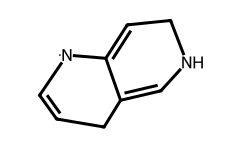 C1=C[N]C2=CCNC=C2C1